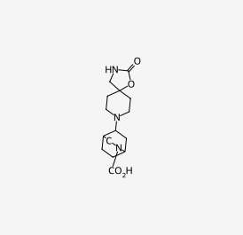 O=C1NCC2(CCN(C3CC4CCC3CN4C(=O)O)CC2)O1